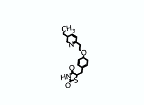 CCC1C=CC(CCOC2C=CC(CC3SC(=O)NC3=O)=CC2)=NC1